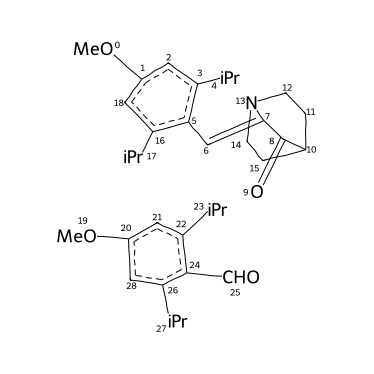 COc1cc(C(C)C)c(C=C2C(=O)C3CCN2CC3)c(C(C)C)c1.COc1cc(C(C)C)c(C=O)c(C(C)C)c1